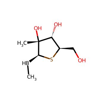 CB[C@@H]1S[C@H](CO)[C@@H](O)[C@@]1(C)O